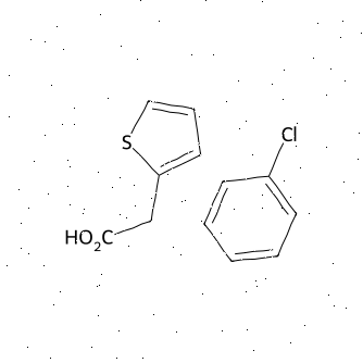 Clc1ccccc1.O=C(O)Cc1cccs1